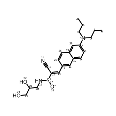 CCCN(CCC)c1ccc2cc(/C=C(\C#N)[S+]([O-])NCC(O)CO)ccc2c1